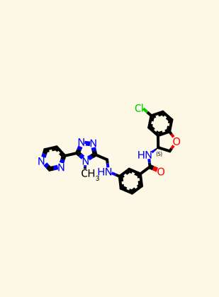 Cn1c(CNc2cccc(C(=O)N[C@@H]3COc4ccc(Cl)cc43)c2)nnc1-c1ccncn1